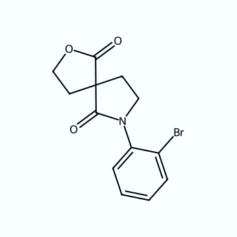 O=C1OCCC12CCN(c1ccccc1Br)C2=O